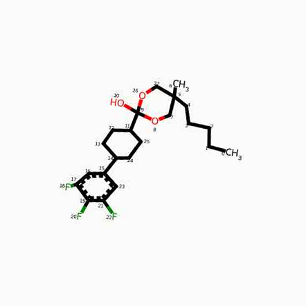 CCCCCC1(C)COC(O)(C2CCC(c3cc(F)c(F)c(F)c3)CC2)OC1